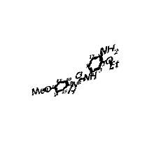 CCOc1cc(NC(=O)Nc2ccc(OC)cc2)ccc1N